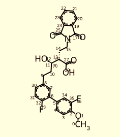 COc1ccc(-c2cc(CC[C@@H](O)[C@H](CCN3C(=O)c4ccccc4C3=O)C(=O)O)ccc2F)cc1F